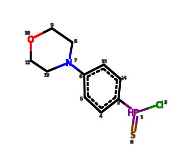 S=[PH](Cl)c1ccc(N2CCOCC2)cc1